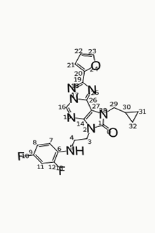 O=c1n(CCNc2ccc(F)cc2F)c2ncn3nc(-c4ccco4)nc3c2n1CC1CC1